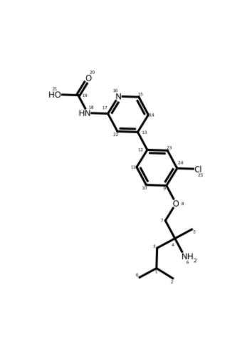 CC(C)CC(C)(N)COc1ccc(-c2ccnc(NC(=O)O)c2)cc1Cl